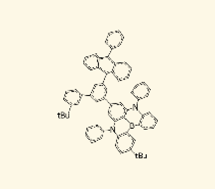 CC(C)(C)c1cccc(-c2cc(-c3cc4c5c(c3)N(c3ccccc3)c3ccc(C(C)(C)C)cc3B5c3ccccc3N4c3ccccc3)cc(-c3c4ccccc4c(-c4ccccc4)c4ccccc34)c2)c1